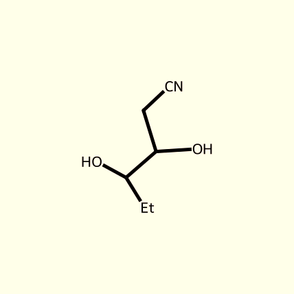 CCC(O)C(O)CC#N